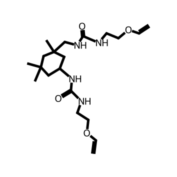 C=COCCNC(=O)NCC1(C)CC(NC(=O)NCCOC=C)CC(C)(C)C1